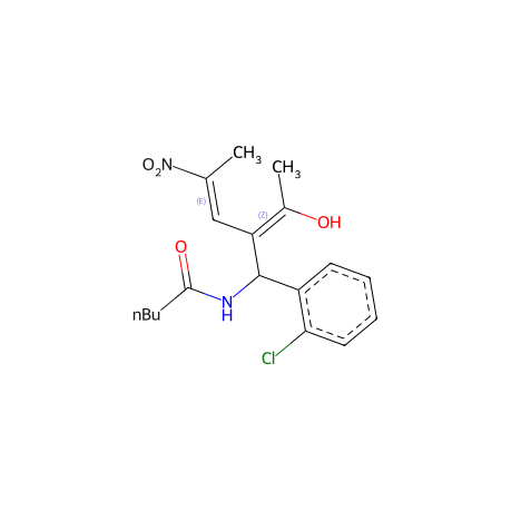 CCCCC(=O)NC(C(/C=C(\C)[N+](=O)[O-])=C(/C)O)c1ccccc1Cl